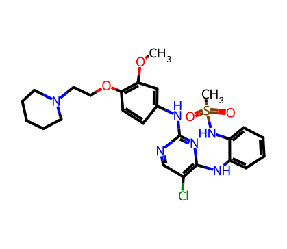 COc1cc(Nc2ncc(Cl)c(Nc3ccccc3NS(C)(=O)=O)n2)ccc1OCCN1CCCCC1